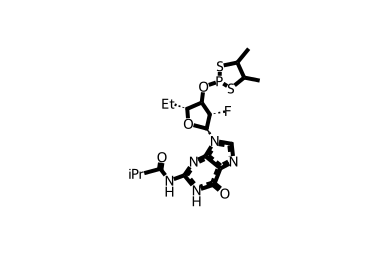 CC[C@H]1O[C@@H](n2cnc3c(=O)[nH]c(NC(=O)C(C)C)nc32)[C@@H](F)C1OP1SC(C)C(C)S1